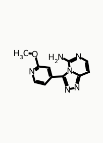 COc1cc(-c2nnc3ccnc(N)n23)ccn1